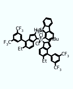 CCCCC1=Cc2c(ccc(CC)c2-c2cc(C(F)(F)F)cc(C(F)(F)F)c2)[CH]1[Zr]([Cl])([Cl])([c]1cccc2c1[SiH2]c1ccccc1-2)[CH]1C(CCCC)=Cc2c1ccc(CC)c2-c1cc(C(F)(F)F)cc(C(F)(F)F)c1